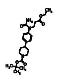 CCOC(=O)CCN(C(N)=O)c1ccc(C2CCN(C(=O)OC(C)(C)C)CC2)cc1